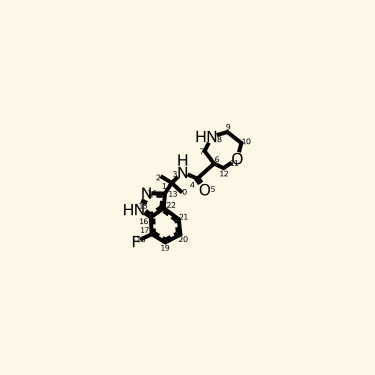 CC(C)(NC(=O)C1CNCCOC1)c1n[nH]c2c(F)cccc12